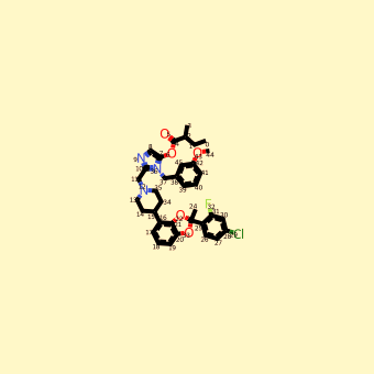 CCC(C)C(=O)Oc1cnc(CN2CCC(c3cccc4c3OC(C)(c3ccc(Cl)cc3F)O4)CC2)n1Cc1cccc(OC)c1